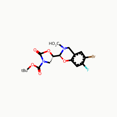 CC(C)(C)OC(=O)N1C[C@@H]([C@@H]2Oc3cc(F)c(Br)cc3CN2C(=O)O)OC1=O